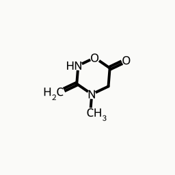 C=C1NOC(=O)CN1C